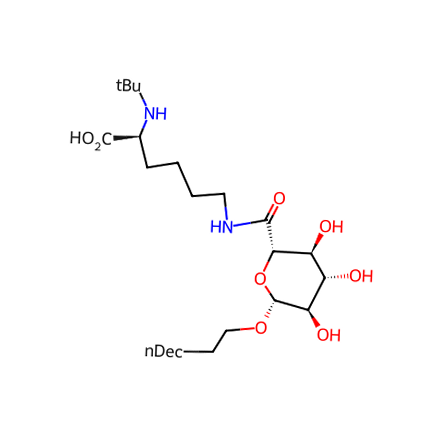 CCCCCCCCCCCCO[C@@H]1O[C@H](C(=O)NCCCC[C@H](NC(C)(C)C)C(=O)O)[C@@H](O)[C@H](O)[C@H]1O